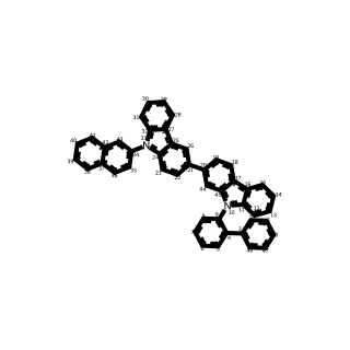 c1ccc(-c2ccccc2-n2c3ccccc3c3ccc(-c4ccc5c(c4)c4ccccc4n5-c4ccc5ccccc5c4)cc32)cc1